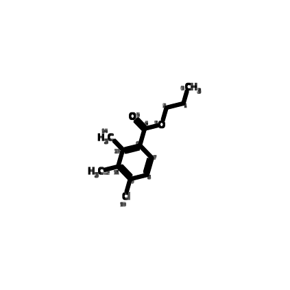 CCCOC(=O)c1ccc(Cl)c(C)c1C